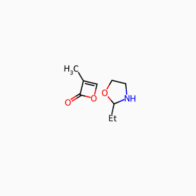 CC1=COC1=O.CCC1NCCO1